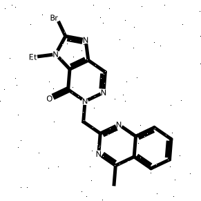 CCn1c(Br)nc2cnn(Cc3nc(C)c4ccccc4n3)c(=O)c21